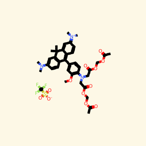 COc1cc(C2=C3C=CC(=[N+](C)C)C=C3C(C)(C)c3cc(N(C)C)ccc32)ccc1N(CC(=O)OCOC(C)=O)CC(=O)OCOC(C)=O.O=S(=O)([O-])C(F)(F)F